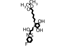 CC(C)OC(=O)CCCCCC[C@@H]1[C@@H](CCC(O)c2nc3cc(F)ccc3s2)[C@H](O)C[C@@H]1O